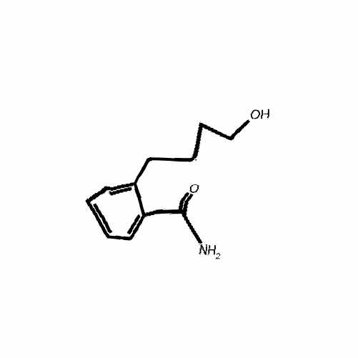 NC(=O)c1ccccc1C[CH]CCO